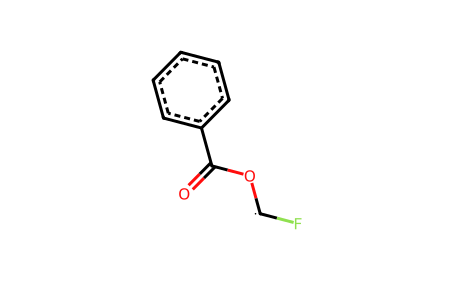 O=C(O[CH]F)c1ccccc1